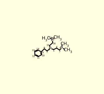 CP(C)CCCP(CCc1ccccc1)CCP(C)C